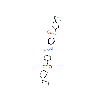 CC1CCC(OC(=O)c2ccc(NNc3ccc(C(=O)OC4CCC(C)CC4)cc3)cc2)CC1